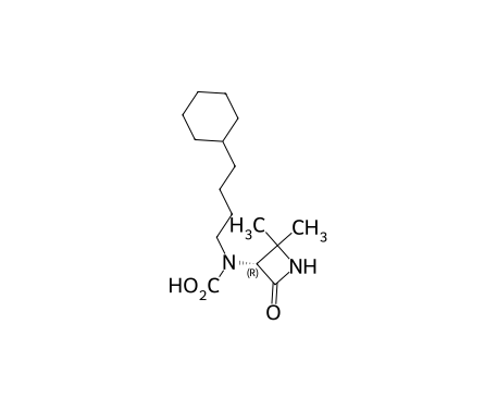 CC1(C)NC(=O)[C@@H]1N(CCCCC1CCCCC1)C(=O)O